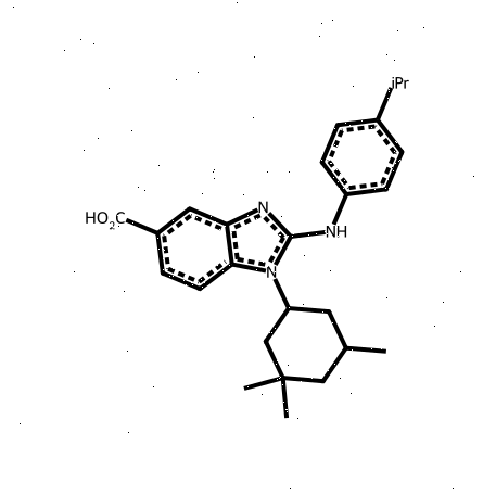 CC1CC(n2c(Nc3ccc(C(C)C)cc3)nc3cc(C(=O)O)ccc32)CC(C)(C)C1